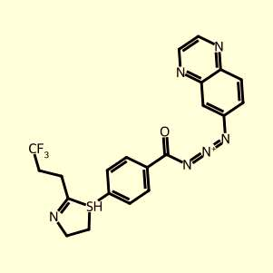 O=C(N=[N+]=Nc1ccc2nccnc2c1)c1ccc([SH]2CCN=C2CCC(F)(F)F)cc1